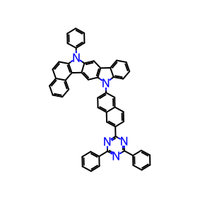 c1ccc(-c2nc(-c3ccccc3)nc(-c3ccc4cc(-n5c6ccccc6c6cc7c(cc65)c5c6ccccc6ccc5n7-c5ccccc5)ccc4c3)n2)cc1